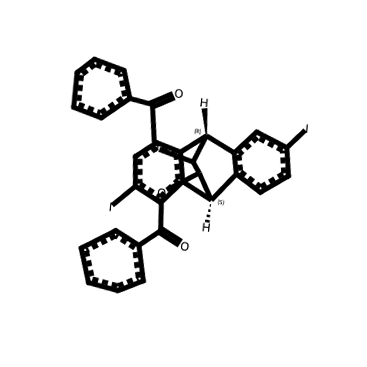 O=C(OC1C(OC(=O)c2ccccc2)[C@H]2c3ccc(I)cc3[C@H]1c1ccc(I)cc12)c1ccccc1